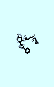 NC(=O)CC(NC(=O)[CH]CS(=O)(=O)CC1CC1)C(=O)c1nc(-c2ccccc2)no1